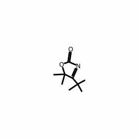 CC(C)(C)C1=NC(=O)OC1(C)C